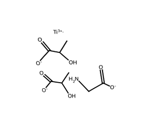 CC(O)C(=O)[O-].CC(O)C(=O)[O-].NCC(=O)[O-].[Ti+3]